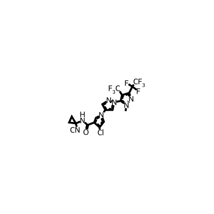 Cn1nc(C(F)(F)C(F)(F)F)c(C(F)(F)F)c1-n1cc(-n2cc(Cl)c(C(=O)NC3(C#N)CC3)c2)cn1